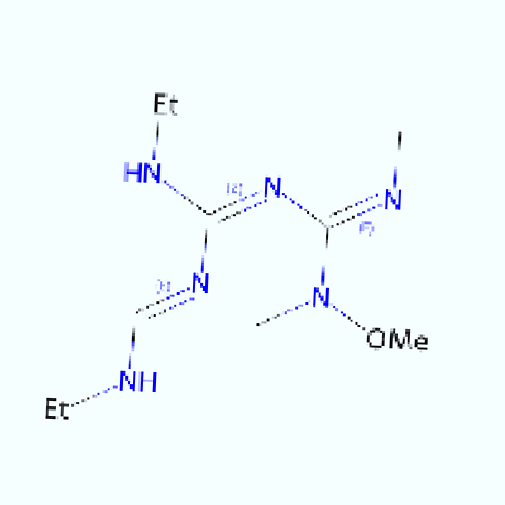 CCN/C=N/C(=N\C(=N/C)N(C)OC)NCC